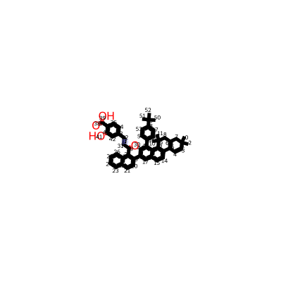 CC1(C)C=CC2=C(C1)CC(C)(C)c1c2ccc2cc(-c3ccc4ccccc4c3C(=O)/C=C/c3ccc(C(=O)O)c(O)c3)cc(-c3ccc(C(C)(C)C)cc3)c12